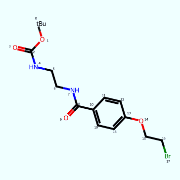 CC(C)(C)OC(=O)NCCNC(=O)c1ccc(OCCBr)cc1